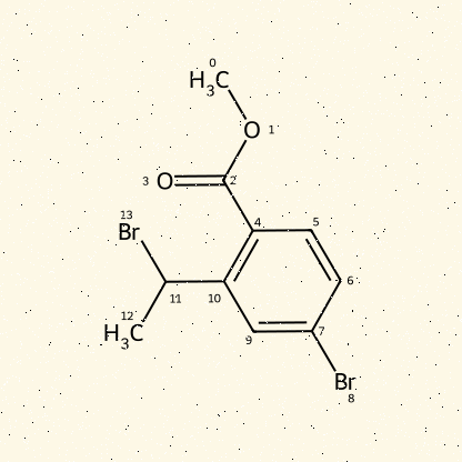 COC(=O)c1ccc(Br)cc1C(C)Br